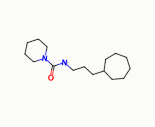 O=C([N]CCCC1CCCCCC1)N1CCCCC1